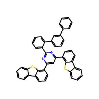 c1ccc(-c2cccc(-c3ccccc3-c3nc(-c4cccc5c4sc4ccccc45)cc(-c4cccc5c4sc4ccccc45)n3)c2)cc1